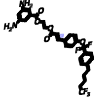 Nc1cc(N)cc(C(=O)OCCOC(=O)/C=C/c2ccc(OC(F)(F)c3ccc(CCCCC(F)(F)F)cc3)cc2)c1